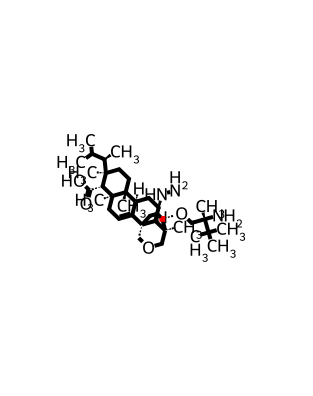 CC(C)[C@@H](C)[C@@]1(C)CC[C@]2(C)[C@H]3CC[C@@H]4[C@@]5(COC[C@]4(C)[C@@H](OC[C@](C)(N)C(C)(C)C)[C@H](NN)C5)C3=CC[C@@]2(C)[C@@H]1C(=O)O